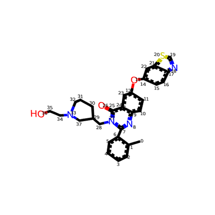 Cc1ccccc1-c1nc2ccc(Oc3ccc4ncsc4c3)cc2c(=O)n1CC1CCCN(CCO)C1